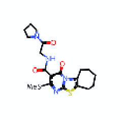 CSc1nc2sc3c(n2c(=O)c1C(=O)NCC(=O)N1CCCC1)CCCCC3